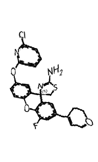 NC1=N[C@@]2(CS1)c1cc(Oc3cccc(Cl)n3)ccc1Oc1c(F)cc(C3=CCOCC3)cc12